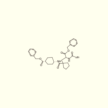 CCCC(=O)NC(CC1(C(=O)N[C@H]2CC[C@@H](C(=O)OCc3ccccc3)CC2)CCCC1)C(=O)OCc1ccccc1